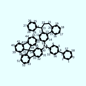 c1ccc(-c2ccc(N(c3ccc4c(c3)-c3ccccc3CCC4c3ccccc3)c3ccc4c(c3)C3(c5ccccc5-c5ccccc53)c3ccccc3-4)cc2)cc1